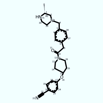 C[C@@H]1CN(Cc2ccc(CC(=O)N3CCC(Oc4ccc(C#N)cc4)CC3)cc2)CCN1